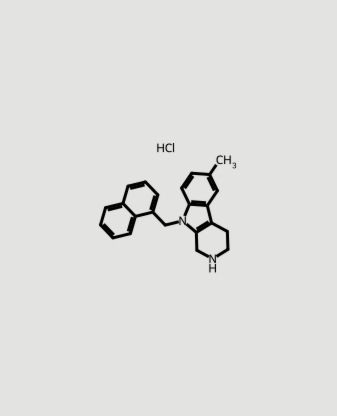 Cc1ccc2c(c1)c1c(n2Cc2cccc3ccccc23)CNCC1.Cl